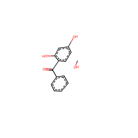 CO.O=C(c1ccccc1)c1ccc(O)cc1O